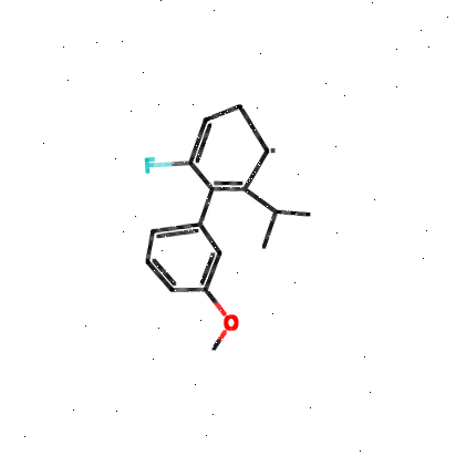 COc1cccc(C2=C(C(C)C)[CH]CC=C2F)c1